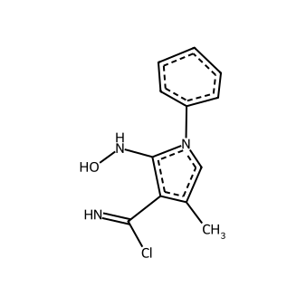 Cc1cn(-c2ccccc2)c(NO)c1C(=N)Cl